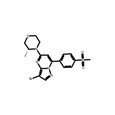 C[C@@H]1COCCN1c1cc(-c2ccc(S(C)(=O)=O)cc2)n2ncc(Br)c2n1